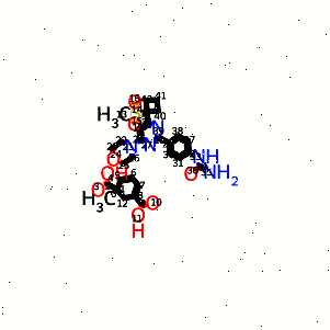 CC1(C(=O)O)C=CC=C(C(=O)O)C1.CS(=O)(=O)C1(c2cc(N3CCOCC3)nc(-c3ccc(NC(N)=O)cc3)n2)CCC1